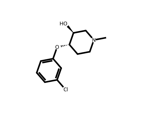 CN1CC[C@H](Oc2cccc(Cl)c2)[C@@H](O)C1